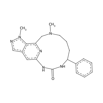 CN1CCCC(c2ccccc2)NC(=O)Nc2cc3cnn(C)c3c(n2)C1